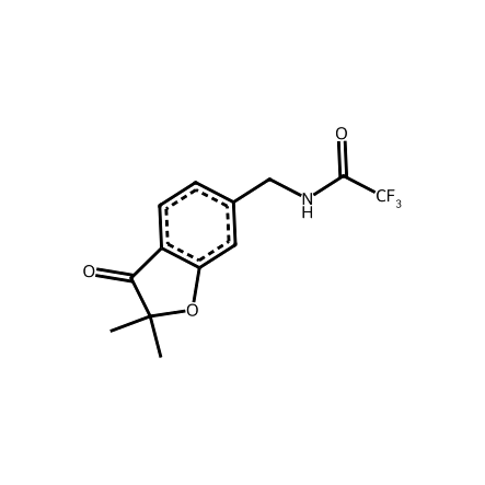 CC1(C)Oc2cc(CNC(=O)C(F)(F)F)ccc2C1=O